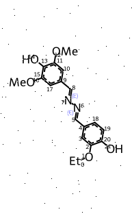 CCOc1cc(/C=N/N=C/c2cc(OC)c(O)c(OC)c2)ccc1O